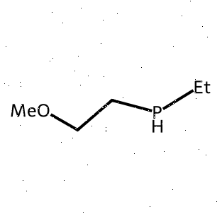 CCPCCOC